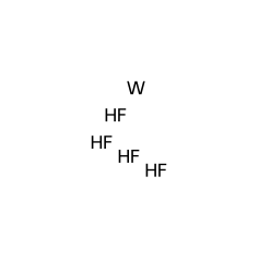 F.F.F.F.[W]